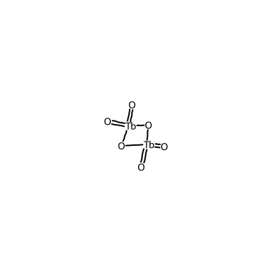 [O]=[Tb]1(=[O])[O][Tb](=[O])(=[O])[O]1